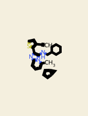 C#Cc1ccsc1-c1nc2cccc(C)n2c1NCC1CCCCC1.c1cc2cc-2c1